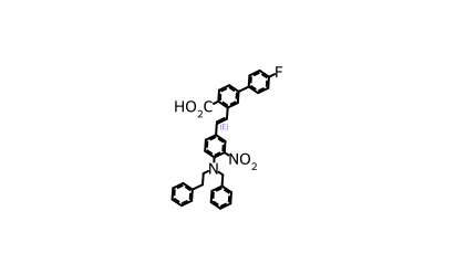 O=C(O)c1ccc(-c2ccc(F)cc2)cc1/C=C/c1ccc(N(CCc2ccccc2)Cc2ccccc2)c([N+](=O)[O-])c1